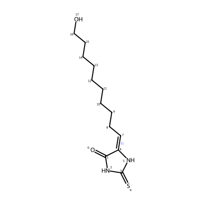 O=C1NC(=S)N/C1=C/CCCCCCCCCO